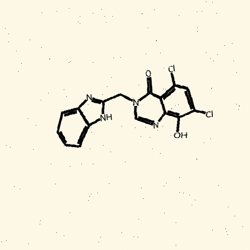 O=c1c2c(Cl)cc(Cl)c(O)c2ncn1Cc1nc2ccccc2[nH]1